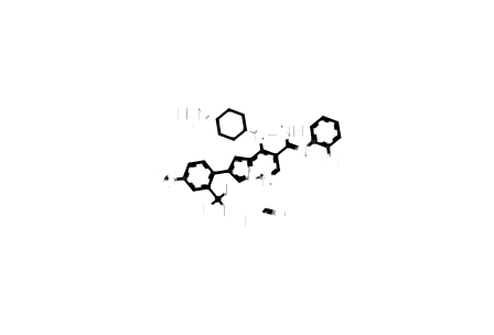 COc1ccc(-c2cc3c(N[C@H]4CC[C@H](N)CC4)c(C(N)=Nc4ccccc4Cl)cnn3c2)c(C(F)(F)F)c1.O=CO